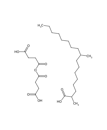 CCCCCCCCC(C)CCCCCCC(C)C(=O)O.O=C(O)CCC(=O)OC(=O)CCC(=O)O